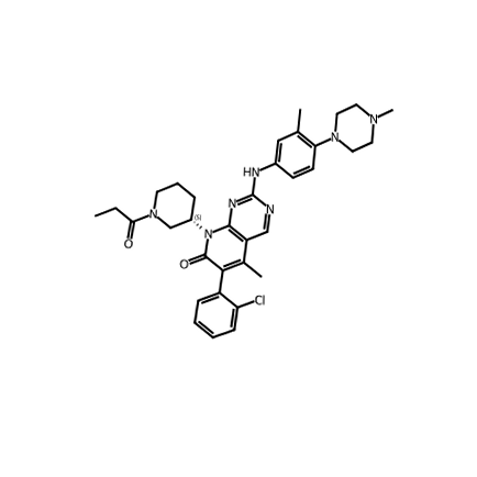 CCC(=O)N1CCC[C@H](n2c(=O)c(-c3ccccc3Cl)c(C)c3cnc(Nc4ccc(N5CCN(C)CC5)c(C)c4)nc32)C1